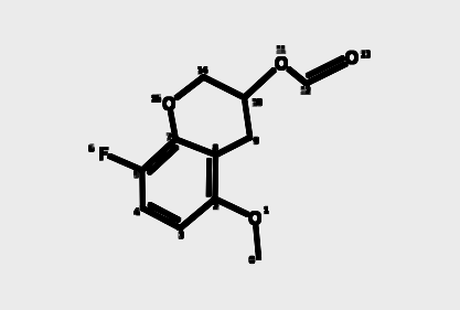 COc1ccc(F)c2c1CC(OC=O)CO2